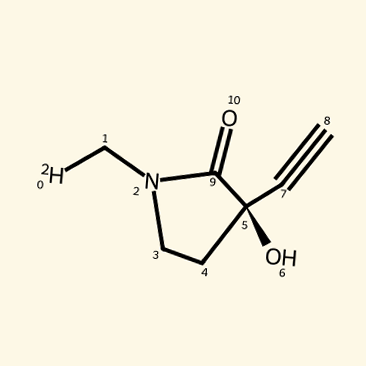 [2H]CN1CC[C@@](O)(C#C)C1=O